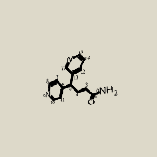 NC(=O)CCC(c1ccncc1)c1cccnc1